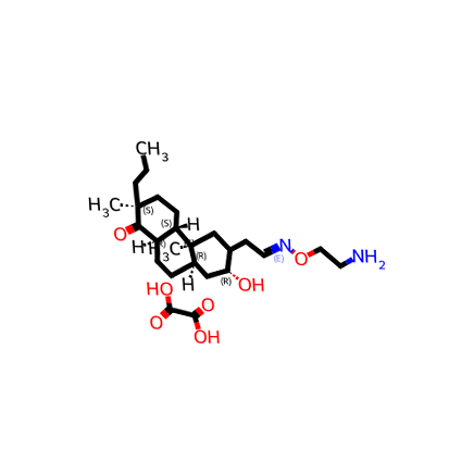 CCC[C@@]1(C)CC[C@H]2[C@@H](CC[C@@H]3C[C@@H](O)C(C/C=N/OCCN)C[C@@]32C)C1=O.O=C(O)C(=O)O